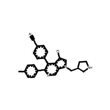 Cc1ccc(-c2ncc3c(c(Cl)cn3CC3CCNC3)c2-c2ccc(C#N)cc2)cc1